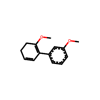 COC1=C(c2cccc(OC)c2)C=CC[CH]1